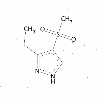 CCc1n[nH]cc1S(C)(=O)=O